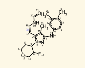 Cc1ccc(Nc2nn(C3CCOCC3F)c(/C=C\NC=O)c2C)cc1C